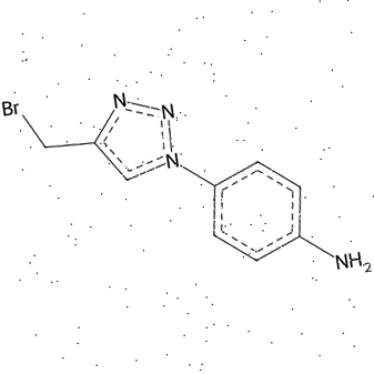 Nc1ccc(-n2cc(CBr)nn2)cc1